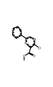 COC(=O)c1nc(-c2ccccc2)cnc1Cl